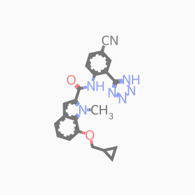 Cn1c(C(=O)Nc2ccc(C#N)cc2-c2nnn[nH]2)cc2cccc(OCC3CC3)c21